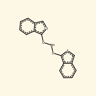 B(Oc1scc2ccccc12)Oc1scc2ccccc12